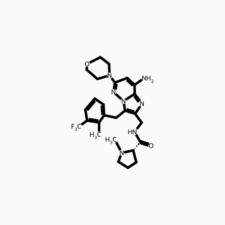 Cc1c(Cc2c(CNC(=O)[C@@H]3CCCN3C)nc3c(N)cc(N4CCOCC4)nn23)cccc1C(F)(F)F